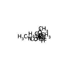 CCCN1CCc2ccc(N(OC(=O)C(F)(F)F)S(=O)(=O)c3c(C)cc(C)cc3C)cc2CC1